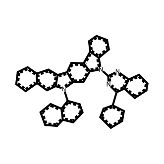 c1ccc(-c2nc(-n3c4ccccc4c4cc5c6cc7ccccc7cc6n(-c6cccc7ccccc67)c5cc43)nc3ccccc23)cc1